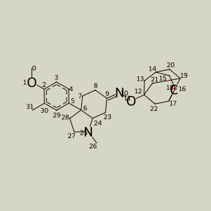 COc1ccc(C23CC/C(=N/OC45CC6CCC(CC(C6)C4)C5)CC2N(C)CC3)cc1C